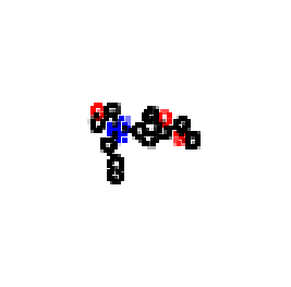 C1=CC2Oc3cccc(-c4nc(-c5cccc(-c6ccc7ccccc7c6)c5)nc(-c5cc(-c6cccc7oc8c(-c9cccc%10c9oc9ccccc9%10)cccc8c67)c6ccccc6c5)n4)c3C2C=C1